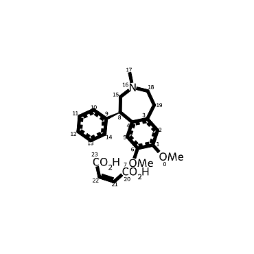 COc1cc2c(cc1OC)[C@@H](c1ccccc1)CN(C)CC2.O=C(O)/C=C\C(=O)O